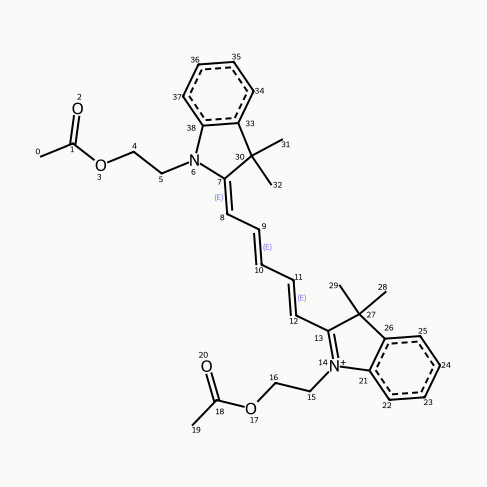 CC(=O)OCCN1/C(=C/C=C/C=C/C2=[N+](CCOC(C)=O)c3ccccc3C2(C)C)C(C)(C)c2ccccc21